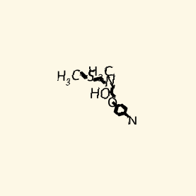 CCCSCCCN(CC)C[C@@H](O)COc1ccc(C#N)cc1